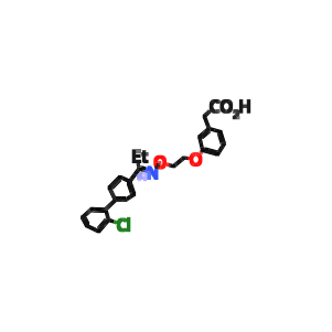 CC/C(=N\OCCOc1cccc(CC(=O)O)c1)c1ccc(-c2ccccc2Cl)cc1